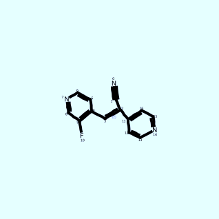 N#C/C(=C\c1ccncc1F)c1ccncc1